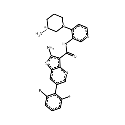 Nc1sc2cc(-c3c(F)cccc3F)cnc2c1C(=O)Nc1cnccc1N1CCC[C@@H](N)C1